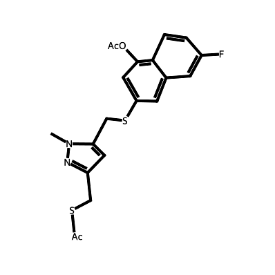 CC(=O)Oc1cc(SCc2cc(CSC(C)=O)nn2C)cc2cc(F)ccc12